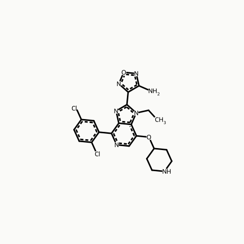 CCn1c(-c2nonc2N)nc2c(-c3cc(Cl)ccc3Cl)ncc(OC3CCNCC3)c21